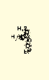 CCOc1ccc(CC(=O)N(Cc2ccc(C)cc2)C2CCN(C)CC2)cc1